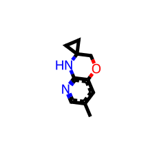 Cc1cnc2c(c1)OCC1(CC1)N2